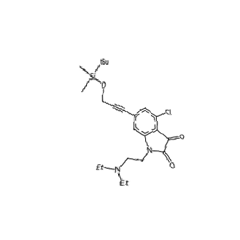 CCN(CC)CCN1C(=O)C(=O)c2c(Cl)cc(C#CCO[Si](C)(C)C(C)(C)C)cc21